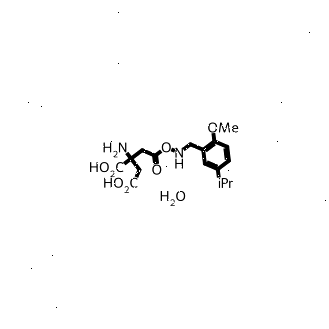 COc1ccc(C(C)C)cc1CNOC(=O)CC(N)(CC(=O)O)C(=O)O.O